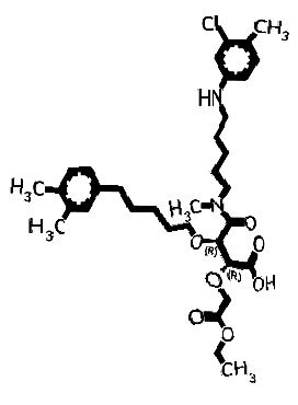 CCOC(=O)CO[C@@H](C(=O)O)[C@@H](OCCCCCc1ccc(C)c(C)c1)C(=O)N(C)CCCCCNc1ccc(C)c(Cl)c1